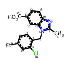 CCc1ccc(Cn2c(C)nc3ccc(C(=O)O)cc32)c(Cl)c1